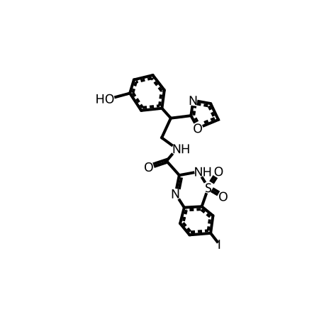 O=C(NCC(c1cccc(O)c1)c1ncco1)C1=Nc2ccc(I)cc2S(=O)(=O)N1